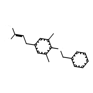 CC(=O)NC(=CCc1cc(C)c(OCc2ccccc2)c(C)c1)C(=O)O